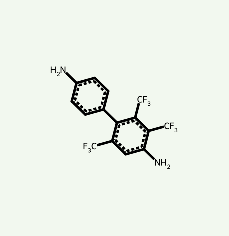 Nc1ccc(-c2c(C(F)(F)F)cc(N)c(C(F)(F)F)c2C(F)(F)F)cc1